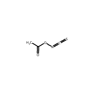 CC(=O)ON=C=S